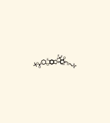 CC(C)(C)OC(=O)N1CCCC(Oc2cc3c(cc2F)CN(c2cnn(COCC[Si](C)(C)C)c(=O)c2C(F)(F)F)C3)C1